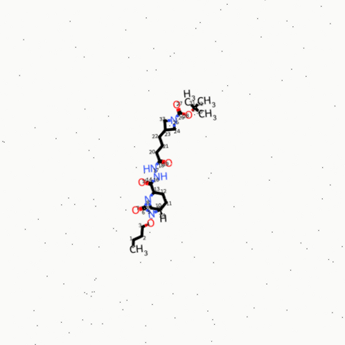 CCCCON1C(=O)N2C[C@@H]1CCC2C(=O)NNC(=O)CCCC1CN(C(=O)OC(C)(C)C)C1